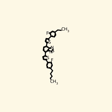 CCCCCc1ccc(-c2ccc(-c3ccc(-c4ccc(-c5ccc(CCC)cc5F)s4)c4nsnc34)s2)c(F)c1